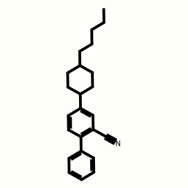 CCCCCC1CCC(c2ccc(-c3ccccc3)c(C#N)c2)CC1